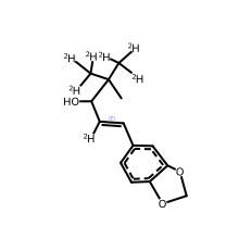 [2H]/C(=C\c1ccc2c(c1)OCO2)C(O)C(C)(C([2H])([2H])[2H])C([2H])([2H])[2H]